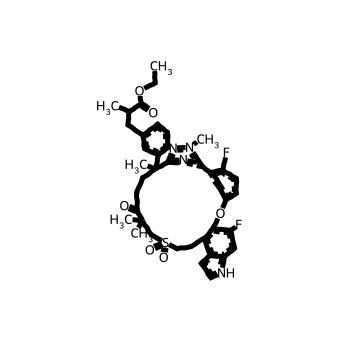 CCOC(=O)C(C)Cc1cccc(C2(C)CCC(=O)C(C)(C)CS(=O)(=O)CCc3c(c(F)cc4[nH]ccc34)Oc3ccc(F)c(c3)-c3nc2nn3C)c1